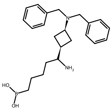 NC(CCCCB(O)O)[C@H]1C[C@@H](N(Cc2ccccc2)Cc2ccccc2)C1